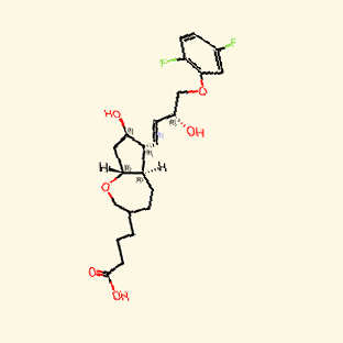 O=C(O)CCCC1CC[C@@H]2[C@@H](/C=C/[C@@H](O)COc3cc(F)ccc3F)[C@H](O)C[C@H]2OC1